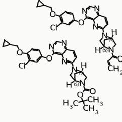 C=CC(=O)N1C[C@@H]2C[C@H]1CN2c1ccc2ncnc(Oc3ccc(OCC4CC4)c(Cl)c3)c2n1.CC(C)(C)OC(=O)N1C[C@@H]2C[C@H]1CN2c1ccc2ncnc(Oc3ccc(OCC4CC4)c(Cl)c3)c2n1